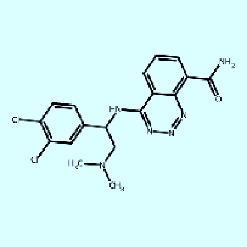 CN(C)CC(Nc1nnnc2c(C(N)=O)cccc12)c1ccc(Cl)c(Cl)c1